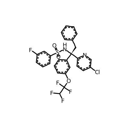 O=S(=O)(N[C@@](Cc1ccccc1)(c1cccc(OC(F)(F)C(F)F)c1)c1ccc(Cl)cn1)c1cccc(F)c1